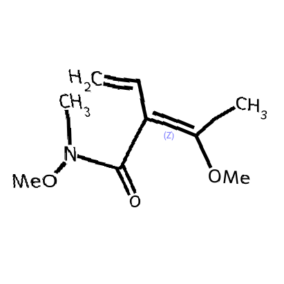 C=C/C(C(=O)N(C)OC)=C(\C)OC